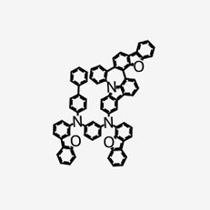 c1ccc(-c2ccc(N(c3cccc(N(c4ccc5c(c4)c4cccc6c4n5-c4ccccc4-c4ccc5c(oc7ccccc75)c4-6)c4cccc5c4oc4ccccc45)c3)c3cccc4c3oc3ccccc34)cc2)cc1